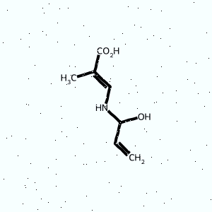 C=C[C](O)NC=C(C)C(=O)O